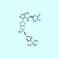 Cn1cnc(C2CC3CC(O)(C#Cc4cnc(C(C)(C)O)nc4)CC3C2)c1C(=O)Nc1ccc(F)c(Cl)c1